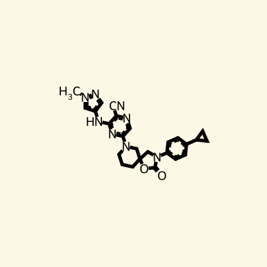 Cn1cc(Nc2nc(N3CCCC4(C3)CN(c3ccc(C5CC5)cc3)C(=O)O4)cnc2C#N)cn1